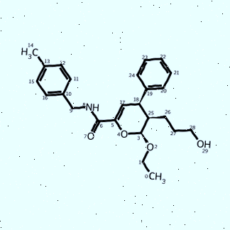 CCO[C@H]1OC(C(=O)NCc2ccc(C)cc2)=C[C@@H](c2ccccc2)[C@H]1CCCO